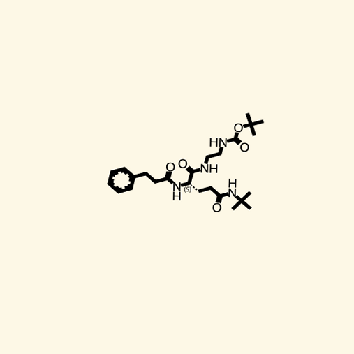 CC(C)(C)NC(=O)CC[C@H](NC(=O)CCc1ccccc1)C(=O)NCCNC(=O)OC(C)(C)C